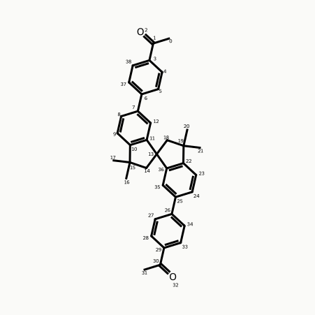 CC(=O)c1ccc(-c2ccc3c(c2)C2(CC3(C)C)CC(C)(C)c3ccc(-c4ccc(C(C)=O)cc4)cc32)cc1